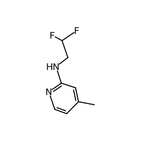 Cc1ccnc(NCC(F)F)c1